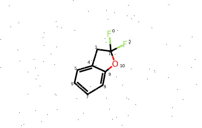 FC1(F)Cc2ccccc2O1